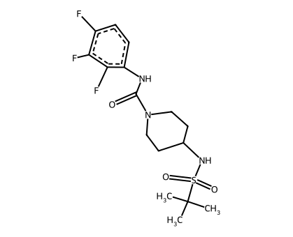 CC(C)(C)S(=O)(=O)NC1CCN(C(=O)Nc2ccc(F)c(F)c2F)CC1